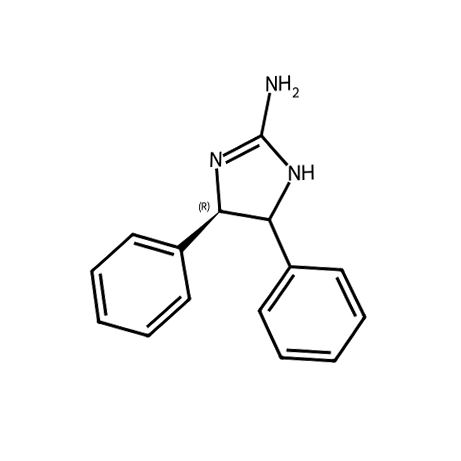 NC1=N[C@H](c2ccccc2)C(c2ccccc2)N1